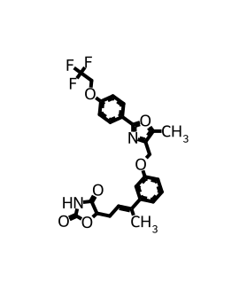 C/C(=C\CC1OC(=O)NC1=O)c1cccc(OCc2nc(-c3ccc(OCC(F)(F)F)cc3)oc2C)c1